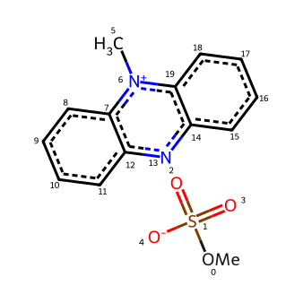 COS(=O)(=O)[O-].C[n+]1c2ccccc2nc2ccccc21